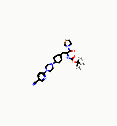 CC(C)(C)OC(=O)NC(CC1CCC(N2CCN(c3ccc(C#N)cn3)CC2)CC1)C(=O)N1CCSC1